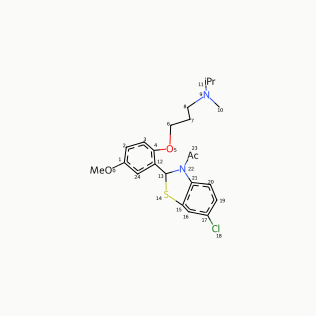 COc1ccc(OCCCN(C)C(C)C)c(C2Sc3cc(Cl)ccc3N2C(C)=O)c1